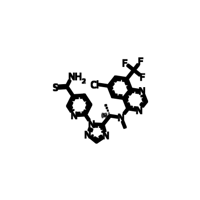 C[C@@H](c1ncnn1-c1ccc(C(N)=S)cn1)N(C)c1ncnc2c(C(F)(F)F)cc(Cl)cc12